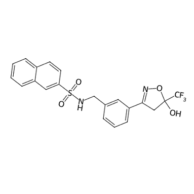 O=S(=O)(NCc1cccc(C2=NOC(O)(C(F)(F)F)C2)c1)c1ccc2ccccc2c1